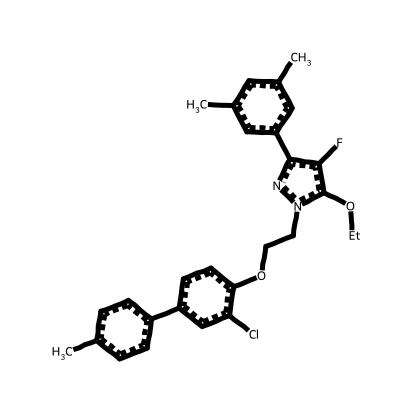 CCOc1c(F)c(-c2cc(C)cc(C)c2)nn1CCOc1ccc(-c2ccc(C)cc2)cc1Cl